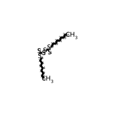 CCCCCCCCCSC(=S)SSC(=S)SCCCCCCCCC